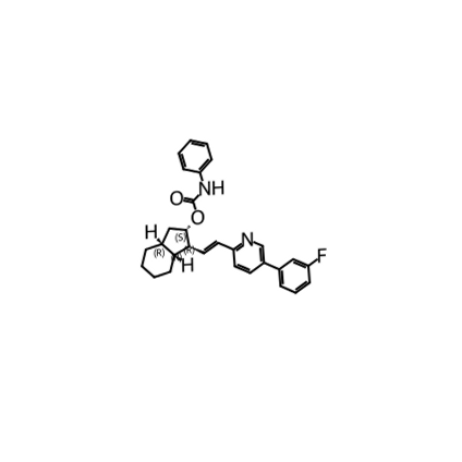 O=C(Nc1ccccc1)O[C@H]1C[C@H]2CCCC[C@H]2[C@@H]1C=Cc1ccc(-c2cccc(F)c2)cn1